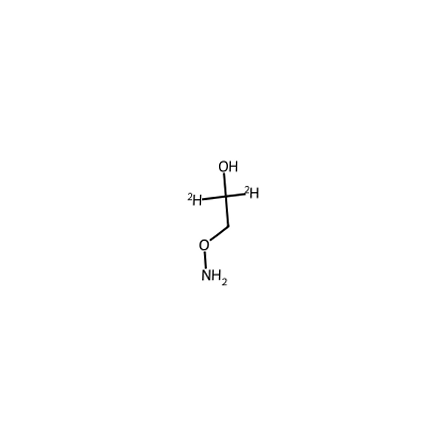 [2H]C([2H])(O)CON